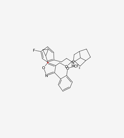 Fc1ccc(CCNC2C3CCC2CC(OCc2c(-c4ccccc4OC(F)(F)F)noc2C2CC2)C3)cc1